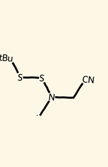 [CH2]N(CC#N)SSC(C)(C)C